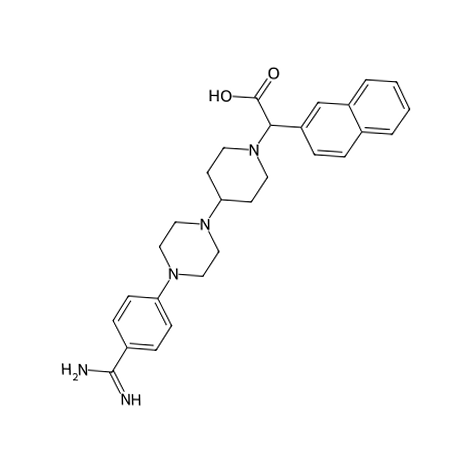 N=C(N)c1ccc(N2CCN(C3CCN(C(C(=O)O)c4ccc5ccccc5c4)CC3)CC2)cc1